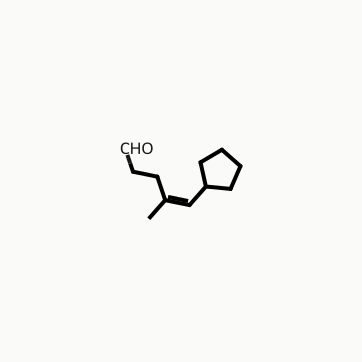 CC(=CC1CCCC1)CCC=O